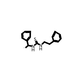 [CH2]C(NC(=S)NCCc1ccccc1)c1ccccc1